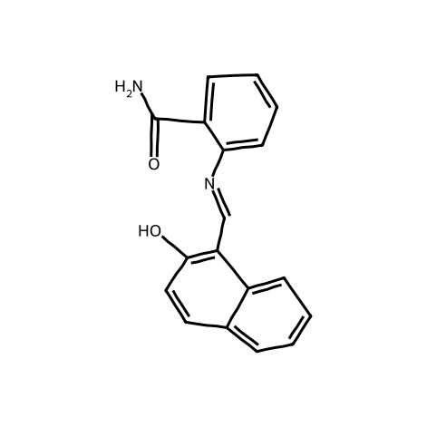 NC(=O)c1ccccc1/N=C/c1c(O)ccc2ccccc12